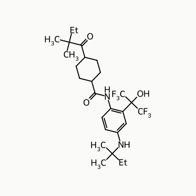 CCC(C)(C)Nc1ccc(NC(=O)C2CCC(C(=O)C(C)(C)CC)CC2)c(C(O)(C(F)(F)F)C(F)(F)F)c1